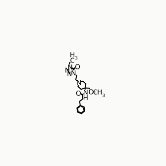 CCn1nnn(CCN2CCC(COC)(NC(=O)CCc3ccccc3)CC2)c1=O